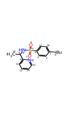 CCC(C)c1ccc(S(=O)(=O)NC(C)c2ccccn2)cc1